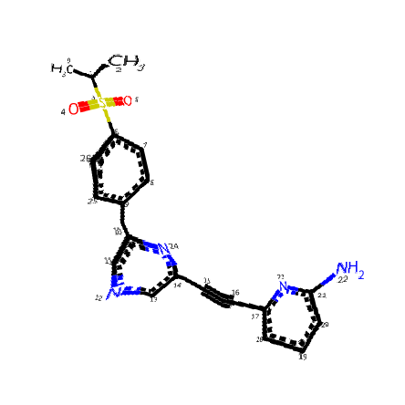 CC(C)S(=O)(=O)c1ccc(-c2cncc(C#Cc3cccc(N)n3)n2)cc1